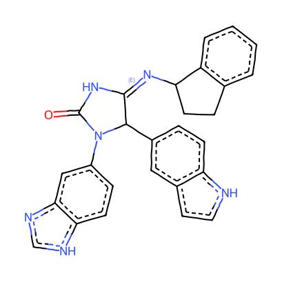 O=C1N/C(=N/C2CCc3ccccc32)C(c2ccc3[nH]ccc3c2)N1c1ccc2[nH]cnc2c1